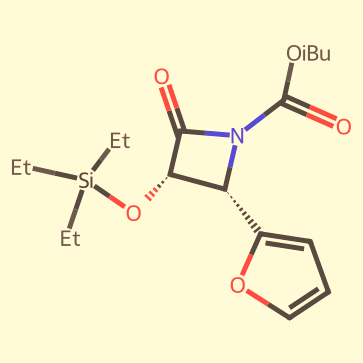 CC[Si](CC)(CC)O[C@@H]1C(=O)N(C(=O)OCC(C)C)[C@@H]1c1ccco1